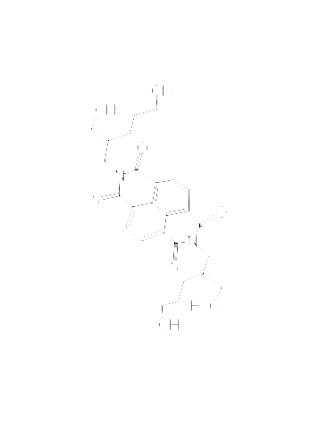 CCCCC(CC)CN1C(=O)c2ccc3c4c(ccc(c24)C1=S)C(=S)N(CC(CC)CCCC)C3=O